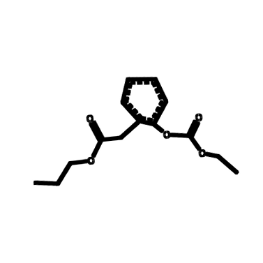 CCCOC(=O)Cc1ccccc1OC(=O)OCC